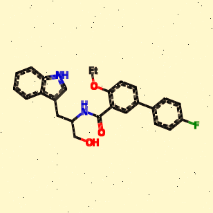 CCOc1ccc(-c2ccc(F)cc2)cc1C(=O)NC(CO)Cc1c[nH]c2ccccc12